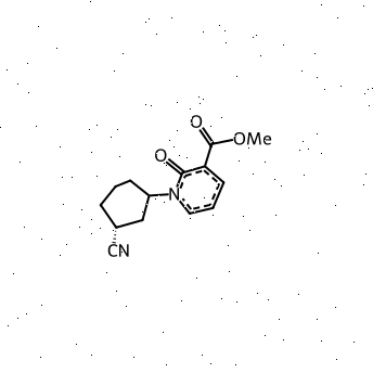 COC(=O)c1cccn(C2CCC[C@@H](C#N)C2)c1=O